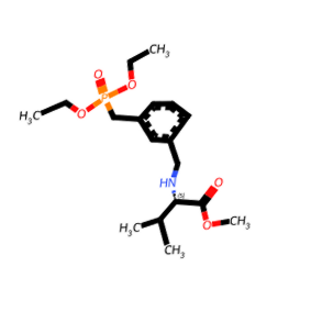 CCOP(=O)(Cc1cccc(CN[C@H](C(=O)OC)C(C)C)c1)OCC